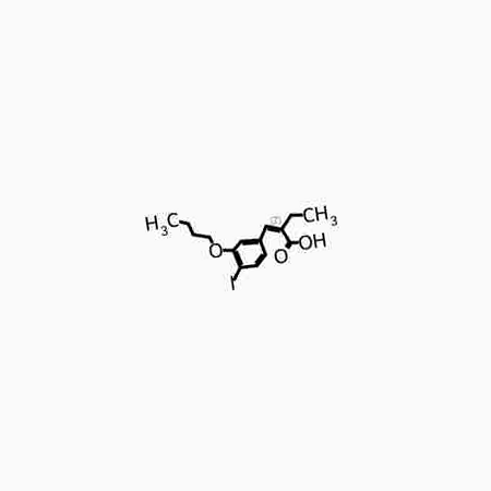 CCCCOc1cc(/C=C(/CC)C(=O)O)ccc1I